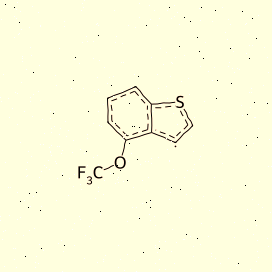 FC(F)(F)Oc1cccc2sc[c]c12